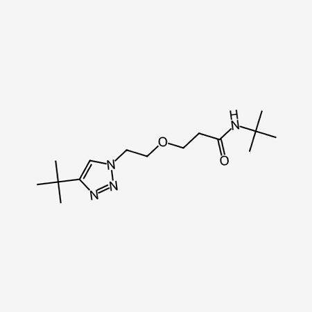 CC(C)(C)NC(=O)CCOCCn1cc(C(C)(C)C)nn1